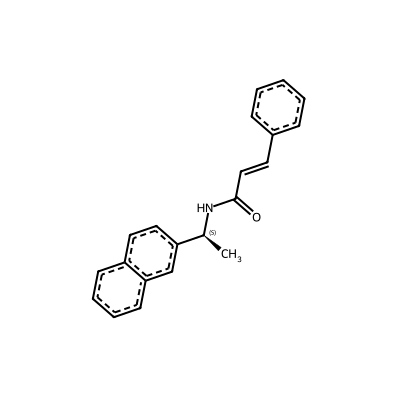 C[C@H](NC(=O)C=Cc1ccccc1)c1ccc2ccccc2c1